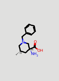 C[C@@H]1CN(Cc2ccccc2)C[C@@](N)(C(=O)O)C1